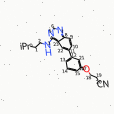 CC(C)CCNc1ncnc2ccc(-c3cccc(OCCC#N)c3)cc12